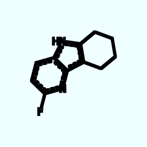 Fc1ccc2[nH]c3c(c2n1)CCCC3